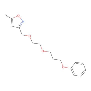 Cc1cc(COCCOCCCOc2ccccc2)no1